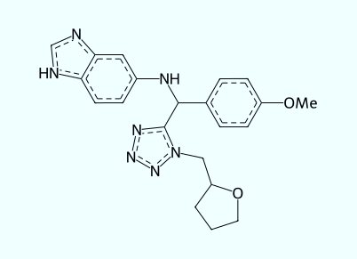 COc1ccc(C(Nc2ccc3[nH]cnc3c2)c2nnnn2CC2CCCO2)cc1